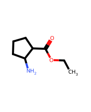 CCOC(=O)C1CCCC1N